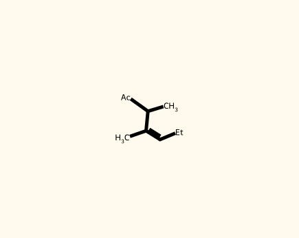 CCC=C(C)C(C)C(C)=O